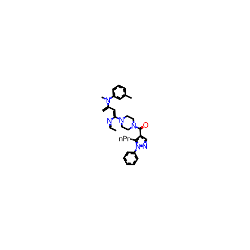 C=C(/C=C(\N=C/C)N1CCN(C(=O)c2cnn(-c3ccccc3)c2CCC)CC1)N(C)c1cccc(C)c1